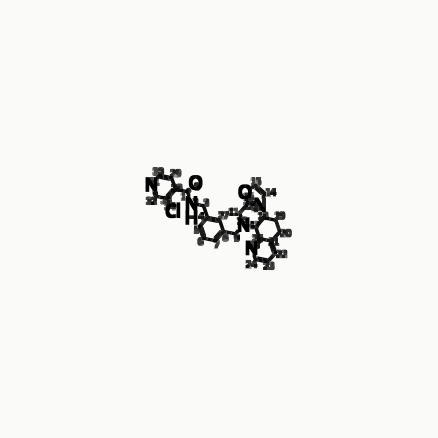 O=C(NCc1cccc(CN(Cc2ncco2)C2CCCc3cccnc32)c1)c1ccncc1Cl